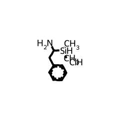 C[SiH](C)C(N)Cc1ccccc1.Cl